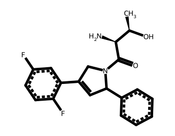 C[C@@H](O)[C@H](N)C(=O)N1CC(c2cc(F)ccc2F)=CC1c1ccccc1